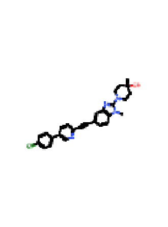 Cn1c(N2CCC(C)(O)CC2)nc2cc(C#Cc3ccc(-c4ccc(Cl)cc4)cn3)ccc21